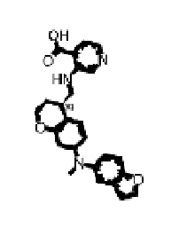 CN(c1ccc2occc2c1)C1C=CC2=C(C1)OCC[C@H]2CNc1cnccc1C(=O)O